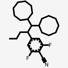 CCCC(c1cc(F)c(C#N)c(F)c1)C(C1CCCCCCC1)C1CCCCCCC1